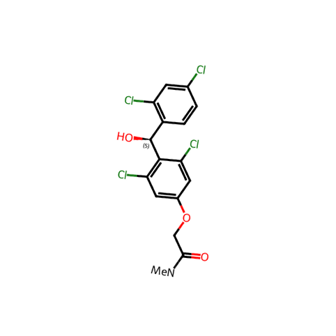 CNC(=O)COc1cc(Cl)c([C@@H](O)c2ccc(Cl)cc2Cl)c(Cl)c1